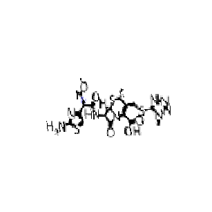 CO/N=C(\C(=O)NC1C(=O)N2C(C(=O)O)=C(CSc3nnnn3C)[C@H](C)S[C@@H]12)c1csc(N)n1